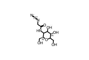 [N-]=[N+]=NCC(=O)NC1C(O)[C@@H](O)C(CO)O[C@H]1CO